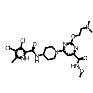 CONC(=O)c1cc(N2CCC(NC(=O)c3[nH]c(C)c(Cl)c3Cl)CC2)nc(OCCN(C)C)n1